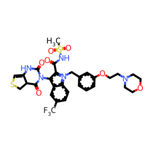 CS(=O)(=O)NC(=O)c1c(N2C(=O)NC3=CSCC3C2=O)c2cc(C(F)(F)F)ccc2n1Cc1cccc(OCCN2CCOCC2)c1